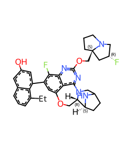 CCc1cccc2cc(O)cc(-c3cc4c5c(nc(OC[C@@]67CCCN6C[C@H](F)C7)nc5c3F)N3CC5CC[C@H](N5)[C@@H]3CO4)c12